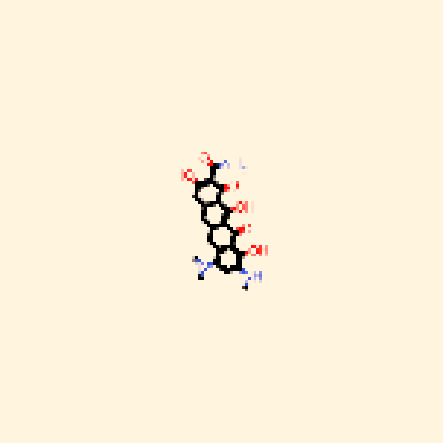 CNc1cc(N(C)C)c2c(c1O)C(=O)C1=C(O)C3C(=O)C(C(N)=O)=C(O)CC3CC1C2